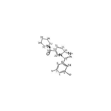 Cc1cc(C)cc(-c2cnc3ccc(C(=O)N4CCCCC4)cn23)c1